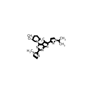 CO[C@@H]1CCCN(c2nc(-c3nccn3C)nc3sc(-c4ccn(C(C)C)n4)c(C)c23)C1